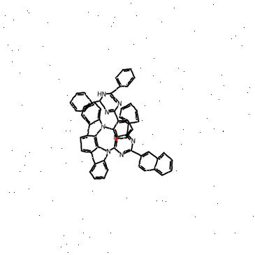 c1ccc(C2=NC(c3ccccc3-n3c4ccccc4c4ccc5c6ccccc6n(-c6nc(-c7ccccc7)nc(-c7ccc8ccccc8c7)n6)c5c43)=NC(c3ccccc3)N2)cc1